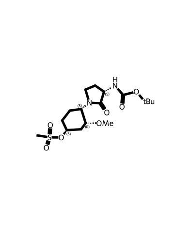 CO[C@@H]1C[C@@H](OS(C)(=O)=O)CC[C@@H]1N1CC[C@H](NC(=O)OC(C)(C)C)C1=O